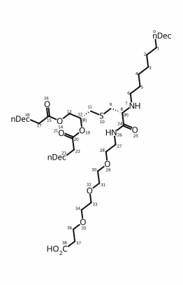 CCCCCCCCCCCCCCCCN[C@@H](CSC[C@@H](COC(=O)CCCCCCCCCCC)OC(=O)CCCCCCCCCCC)C(=O)NCCOCCOCCOCCC(=O)O